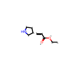 C1CCNC1.C=CC(=O)OCC